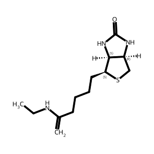 C=C(CCCC[C@@H]1SC[C@@H]2NC(=O)N[C@@H]21)NCC